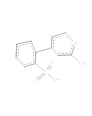 Nc1cc(-c2ccccc2S(N)(=O)=O)ccn1